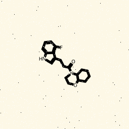 O=C(CCc1c[nH]c2cccc(F)c12)N1CCOC2CCCCC21